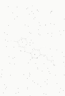 CCC(C)N/C=N/c1cc(C)c(Oc2cc(F)cc(F)c2)cc1C